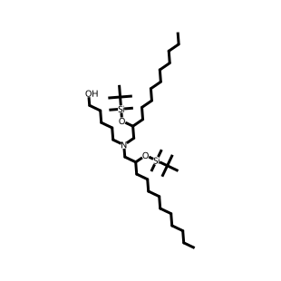 CCCCCCCCCCC(CN(CCCCCO)CC(CCCCCCCCCC)O[Si](C)(C)C(C)(C)C)O[Si](C)(C)C(C)(C)C